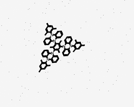 Cc1cc(C)c(N2c3ccccc3N(c3c(C)c(N4c5ccccc5N(c5c(C)cc(C)cc5C)c5ccccc54)c(C)c(N4c5ccccc5N(c5c(C)cc(C)cc5C)c5ccccc54)c3C)c3ccccc32)c(C)c1